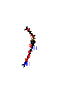 CC(C)NCCOCCOCCOCCNC(=O)Cc1ccc(SSC(C)OCCCCOC(C)C)cc1